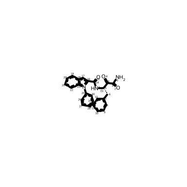 NC(=O)C(=O)[C@H](Cc1ccccc1)NC(=O)c1cc2ccccc2n1-c1ccccc1